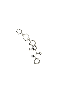 O=C(Nc1ccccc1)c1cc2ccc(N3CCN(C4CCCC4)CC3)nc2[nH]1